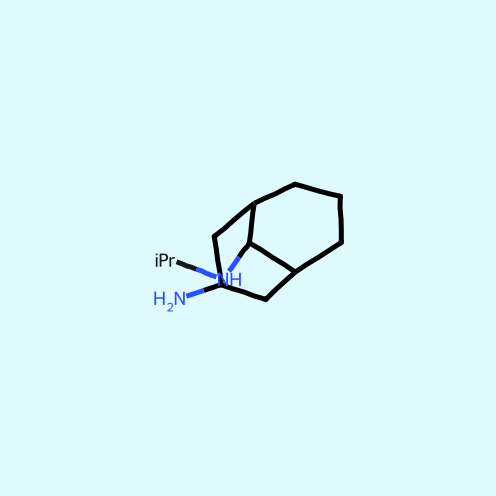 CC(C)NC1C2CCCC1CC(N)C2